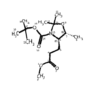 COC(=O)CC[C@@H]1[C@@H](C)OC(C)(C)N1C(=O)OC(C)(C)C